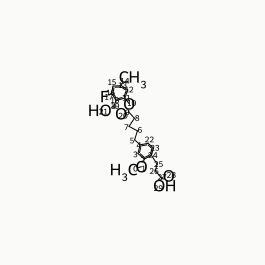 COc1cc(CCCCCOc2cc(C)cc(F)c2C(=O)O)ccc1CCC(=O)O